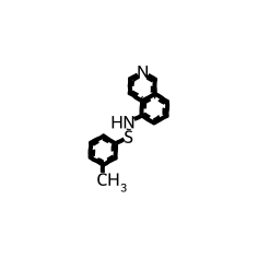 Cc1cccc(SNc2cccc3cnccc23)c1